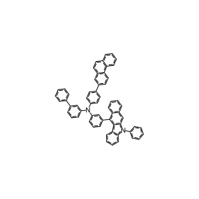 c1ccc(-c2cccc(N(c3ccc(-c4ccc5c(ccc6ccccc65)c4)cc3)c3cccc(-c4c5ccccc5cc5c4c4ccccc4n5-c4ccccc4)c3)c2)cc1